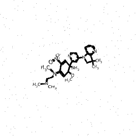 COC1C=C(N(C)CCN(C)C)C([N+](=O)[O-])=CC1(N)c1cc(N2CC(C)(C)c3ncccc32)ccn1